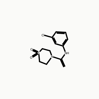 C=C(Nc1cccc(Cl)c1)N1CCS(=O)(=O)CC1